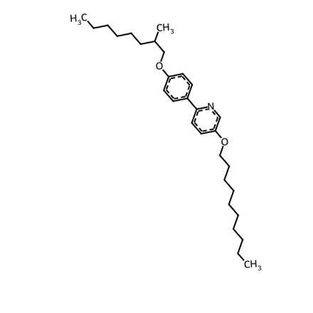 CCCCCCCCCCOc1ccc(-c2ccc(OCC(C)CCCCCC)cc2)nc1